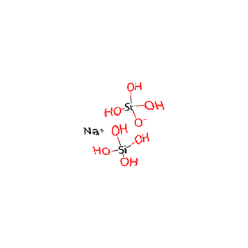 O[Si](O)(O)O.[Na+].[O-][Si](O)(O)O